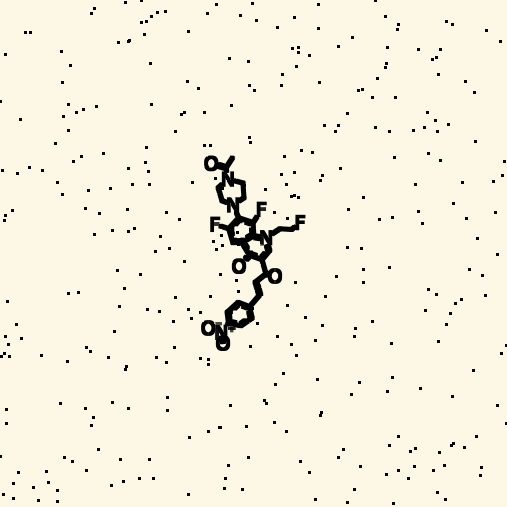 CC(=O)N1CCN(c2c(F)cc3c(=O)c(C(=O)/C=C/c4ccc([N+](=O)[O-])cc4)cn(CCF)c3c2F)CC1